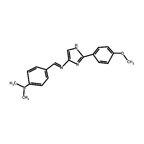 COc1ccc(-c2nc(N=Cc3ccc(N(C)C)cc3)c[nH]2)cc1